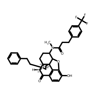 CN(C(=O)CCc1ccc(C(F)(F)F)cc1)C1CC[C@@]2(O)[C@H]3C(=O)c4ccc(O)c5c4[C@@]2(CCN3CCc2ccccc2)C1O5